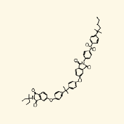 CCCCC(C)(C)c1ccc(S(=O)(=O)c2ccc(N3C(=O)c4ccc(Oc5ccc(C(C)(C)c6ccc(Oc7ccc8c(c7)C(=O)N(C(C)(CC)CC)C8=O)cc6)cc5)cc4C3=O)cc2)cc1